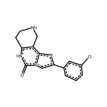 O=c1[nH]c2c(c3nc(-c4cccc(Cl)c4)cn13)CNCC2